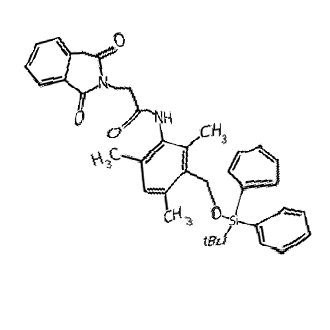 Cc1cc(C)c(NC(=O)CN2C(=O)c3ccccc3C2=O)c(C)c1CO[Si](c1ccccc1)(c1ccccc1)C(C)(C)C